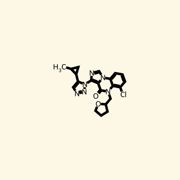 CC1CC1c1cnnn1-c1ncn2c1c(=O)n(CC1CCCO1)c1c(Cl)cccc12